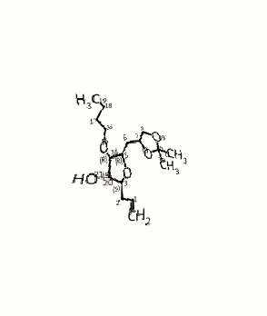 C=CC[C@@H]1O[C@H](CC2COC(C)(C)O2)[C@H](OCCCC)[C@H]1O